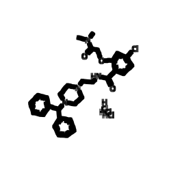 CN(C)C(=O)COc1cc(Cl)ccc1C(=O)NCCN1CCN(C(c2ccccc2)c2ccccc2)CC1.Cl.Cl.Cl